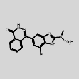 CN(C(=O)O)c1nc2cc(-c3n[nH]c(=O)c4ccccc34)cc(Br)c2[nH]1